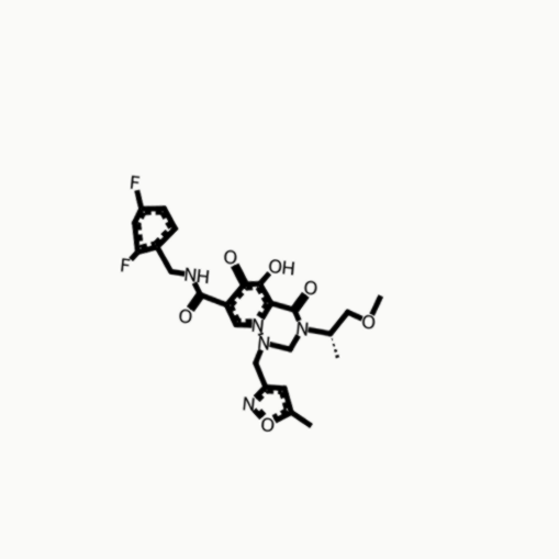 COC[C@H](C)N1CN(Cc2cc(C)on2)n2cc(C(=O)NCc3ccc(F)cc3F)c(=O)c(O)c2C1=O